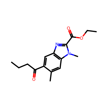 CCCC(=O)c1cc2nc(C(=O)OCC)n(C)c2cc1C